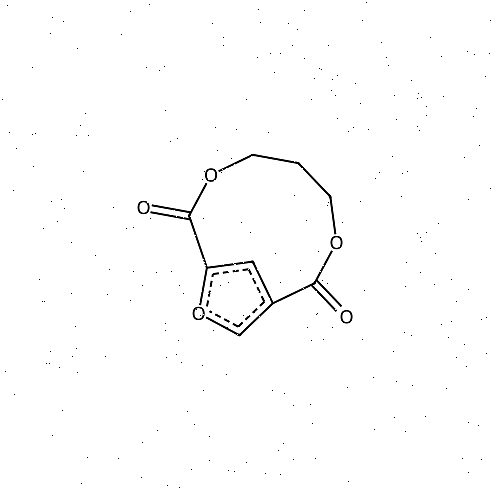 O=C1OCCCOC(=O)c2cc1co2